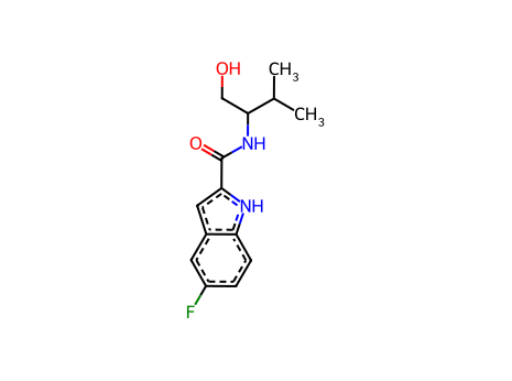 CC(C)C(CO)NC(=O)c1cc2cc(F)ccc2[nH]1